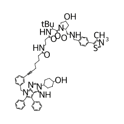 Cc1ncsc1-c1ccc(CNC(=O)[C@@H]2C[C@@H](O)CN2C(=O)[C@@H](NC(=O)CCNC(=O)CCCCC#Cc2cccc(Cn3c(-c4ccccc4)c(-c4ccccc4)c4c(=N)n(C5CCC(O)CC5)cnc43)c2)C(C)(C)C)cc1